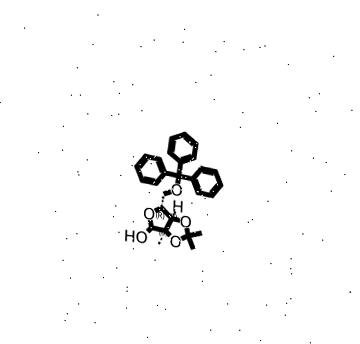 CC1(C)O[C@@H]2[C@@H](COC(c3ccccc3)(c3ccccc3)c3ccccc3)OC(O)[C@]2(C)O1